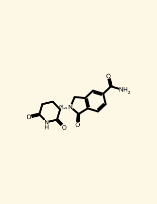 NC(=O)c1ccc2c(c1)CN([C@H]1CCC(=O)NC1=O)C2=O